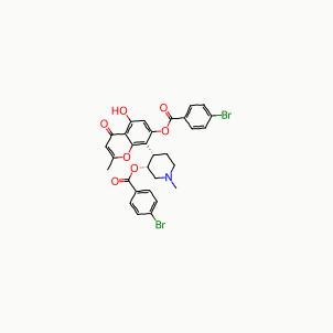 Cc1cc(=O)c2c(O)cc(OC(=O)c3ccc(Br)cc3)c([C@@H]3CCN(C)C[C@@H]3OC(=O)c3ccc(Br)cc3)c2o1